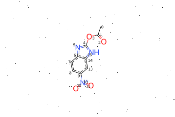 CC(=O)Oc1nc2ccc([N+](=O)[O-])cc2[nH]1